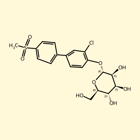 CS(=O)(=O)c1ccc(-c2ccc(O[C@H]3O[C@H](CO)[C@@H](O)[C@H](O)[C@@H]3O)c(Cl)c2)cc1